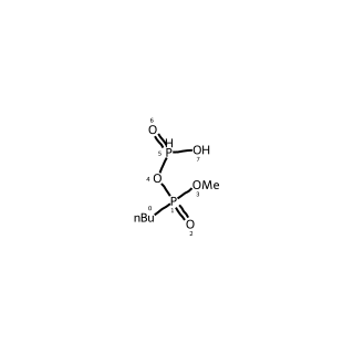 CCCCP(=O)(OC)O[PH](=O)O